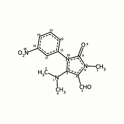 CN(C)c1c(C=O)n(C)c(=O)n1-c1cccc([N+](=O)[O-])c1